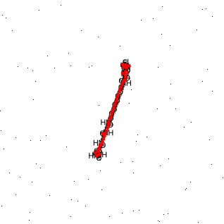 O=C(CCCCCNC(=O)CCCC[C@@H]1SC[C@@H]2NC(=O)N[C@@H]21)NCCCCCC(=O)NCCOCCOCCOCCOCCOCCOCCOCCOCCNC(=O)CCC(=O)N1CCCN(S(=O)(=O)c2cccc3c(Cl)cccc23)CC1